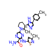 Cc1ccc(-c2cnc([C@@H]3CCCN(c4cnc(C(N)=O)c(Nc5cc(C)ns5)n4)[C@@H]3C)[nH]2)cc1